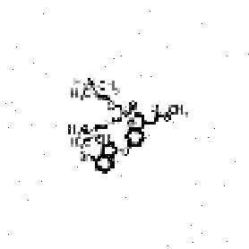 COC(=O)CC(CS(=O)(=O)N(COCC[Si](C)(C)C)COCC[Si](C)(C)C)c1ccc(O[C@@H]2CCc3c(Br)cccc32)cc1